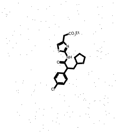 CCOC(=O)Cc1csc(NC(=O)C(CC2CCCC2)c2ccc(Cl)cc2)n1